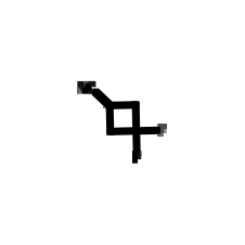 N#C[C]1CC(F)(F)C1